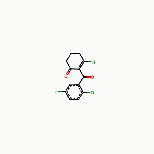 O=C1CCCC(Cl)=C1C(=O)c1cc(F)ccc1Cl